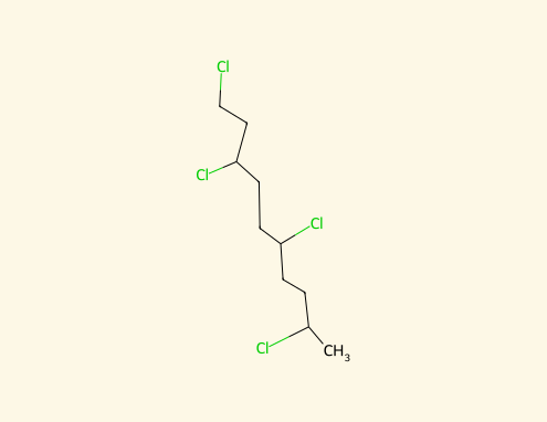 CC(Cl)CCC(Cl)CCC(Cl)CCCl